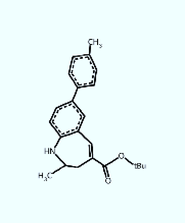 Cc1ccc(-c2ccc3c(c2)C=C(C(=O)OC(C)(C)C)CC(C)N3)cc1